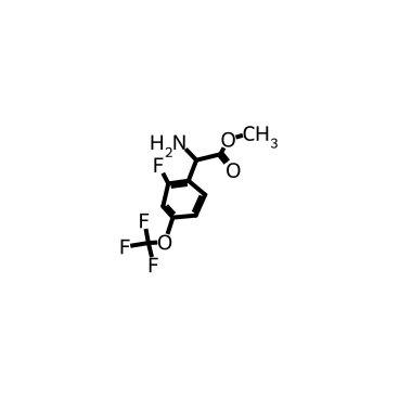 COC(=O)C(N)c1ccc(OC(F)(F)F)cc1F